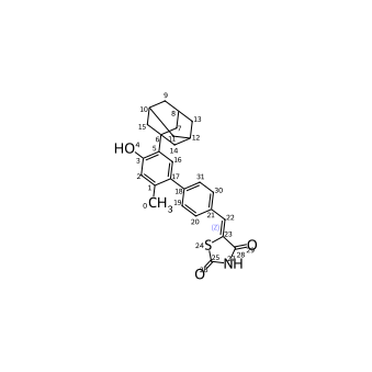 Cc1cc(O)c(C23CC4CC(CC(C4)C2)C3)cc1-c1ccc(/C=C2\SC(=O)NC2=O)cc1